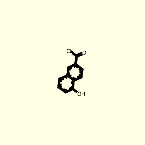 O=C(Cl)c1ccc2c(O)cccc2c1